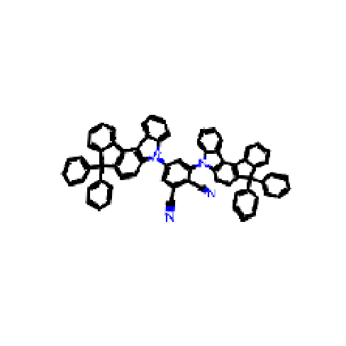 N#Cc1cc(-n2c3ccccc3c3c4c(ccc32)C(c2ccccc2)(c2ccccc2)c2ccccc2-4)cc(-n2c3ccccc3c3c4c(ccc32)C(c2ccccc2)(c2ccccc2)c2ccccc2-4)c1C#N